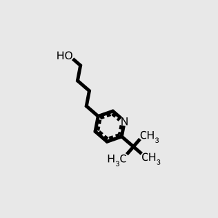 CC(C)(C)c1ccc(CCCCO)cn1